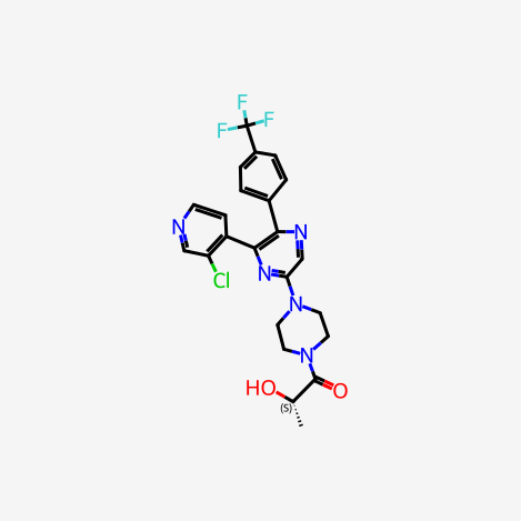 C[C@H](O)C(=O)N1CCN(c2cnc(-c3ccc(C(F)(F)F)cc3)c(-c3ccncc3Cl)n2)CC1